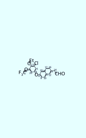 CCOc1c(Cl)cc(Oc2ccc3cc(CC=O)ccc3c2)cc1OC(F)(F)F